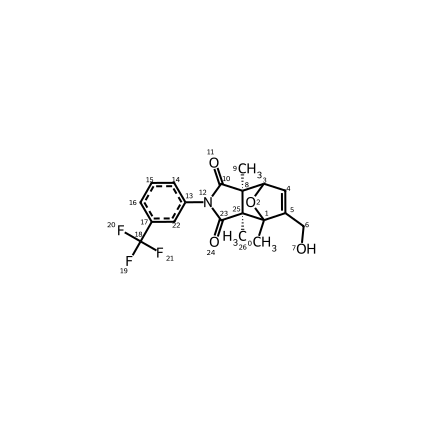 CC12OC(C=C1CO)[C@]1(C)C(=O)N(c3cccc(C(F)(F)F)c3)C(=O)[C@]21C